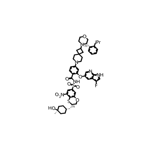 CC(C)c1ccccc1[C@H]1COCCN1C1CC2(CCN(c3ccc(C(=O)NS(=O)(=O)c4cc5c(c([N+](=O)[O-])c4)S[C@@H](C[C@H]4CC[C@](C)(O)CC4)CO5)c(Oc4cnc5[nH]cc(F)c5c4)c3)CC2)C1